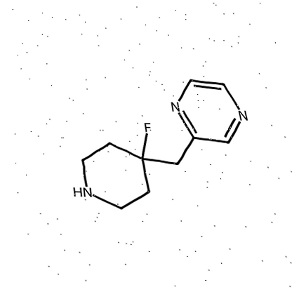 FC1(Cc2cnccn2)CCNCC1